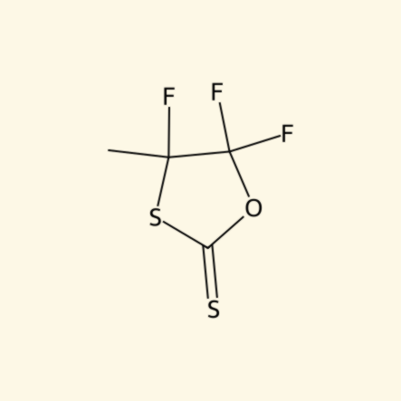 CC1(F)SC(=S)OC1(F)F